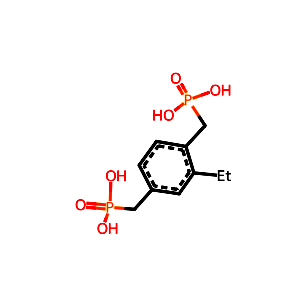 CCc1cc(CP(=O)(O)O)ccc1CP(=O)(O)O